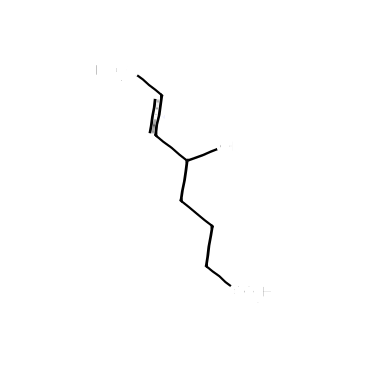 O=C(O)/C=C/C(O)CCCC(=O)O